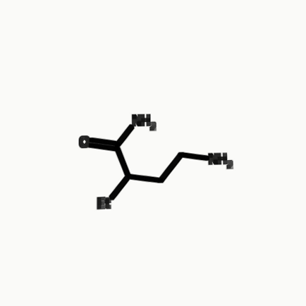 [CH2]CC(CCN)C(N)=O